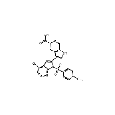 Cc1ccc(S(=O)(=O)n2c(-c3c[nH]c4ccc(C(=O)O)cc34)cc3c(Cl)ccnc32)cc1